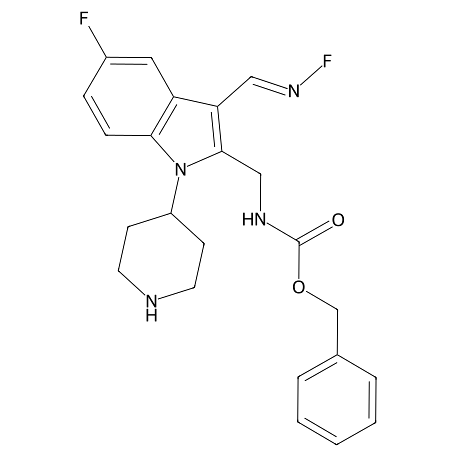 O=C(NCc1c(C=NF)c2cc(F)ccc2n1C1CCNCC1)OCc1ccccc1